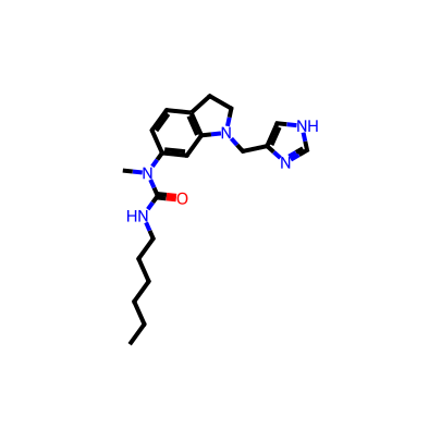 CCCCCCNC(=O)N(C)c1ccc2c(c1)N(Cc1c[nH]cn1)CC2